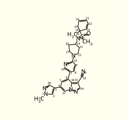 Cn1cc(-c2cc(-c3ccc(N4CCC(N=S(C)(=O)C5(C)C=CC=CC5)CC4)nc3)c3c(C#N)cnn3c2)cn1